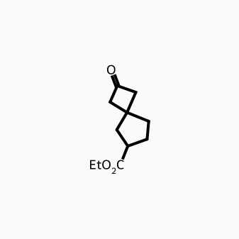 CCOC(=O)C1CCC2(CC(=O)C2)C1